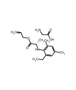 C=CCOC(=O)[C@H](C)Nc1c(C)cc(C)cc1CC.NCC(=O)O